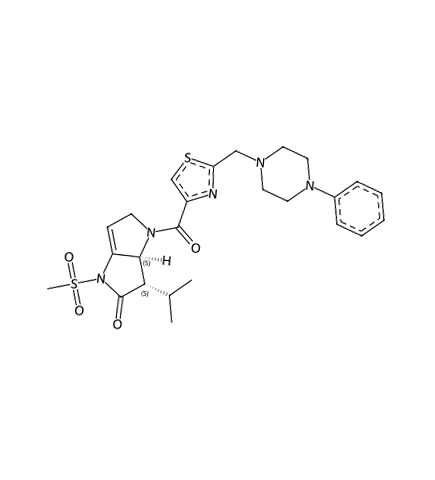 CC(C)[C@@H]1C(=O)N(S(C)(=O)=O)C2=CCN(C(=O)c3csc(CN4CCN(c5ccccc5)CC4)n3)[C@H]21